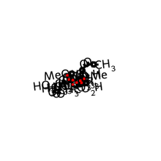 CCOC(=O)C(C(CC(C)(C)C1C(=O)OC(=O)C1C)C(=O)O)C(C)(C)CC1C(=O)N(c2ccccc2C(=O)OC)C(=O)C1C(C)(C)CC(C(=O)O)C(C(=O)Nc1ccccc1C(=O)OC)C(C)(C)CC(C(=O)O)C(C(=O)Oc1ccc(C(=O)CC(=O)c2ccc(C)cc2)cc1)C(C)(C)CC